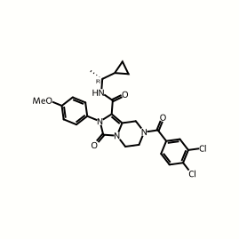 COc1ccc(-n2c(C(=O)N[C@H](C)C3CC3)c3n(c2=O)CCN(C(=O)c2ccc(Cl)c(Cl)c2)C3)cc1